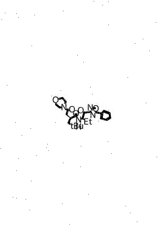 CC[C@@H](NC(=O)[C@H](CC(=O)N1CCOCC1)CC(C)(C)C)C(=O)c1noc(-c2ccccc2)n1